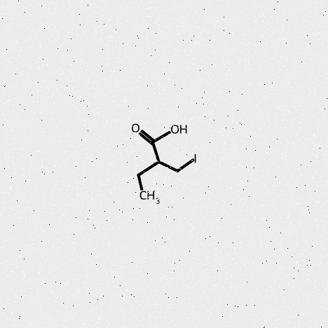 CCC(CI)C(=O)O